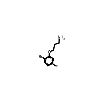 NCCCOc1cc(F)ccc1Br